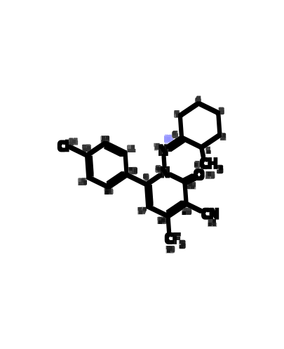 CC1CCCC/C1=N/n1c(-c2ccc(Cl)cc2)cc(C(F)(F)F)c(C#N)c1=O